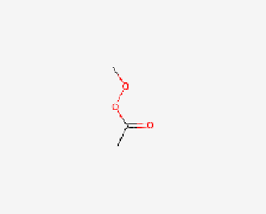 COOC(C)=O